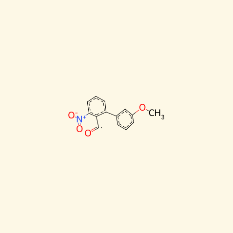 COc1cccc(-c2cccc([N+](=O)[O-])c2[C]=O)c1